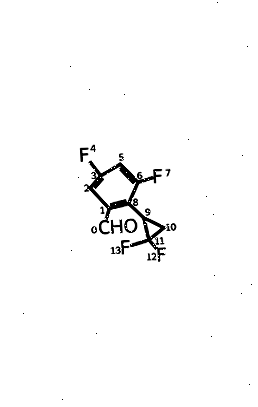 O=Cc1cc(F)cc(F)c1C1CC1(F)F